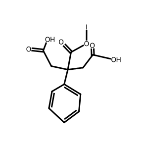 O=C(O)CC(CC(=O)O)(C(=O)OI)c1ccccc1